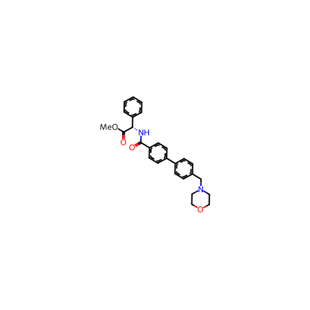 COC(=O)[C@@H](NC(=O)c1ccc(-c2ccc(CN3CCOCC3)cc2)cc1)c1ccccc1